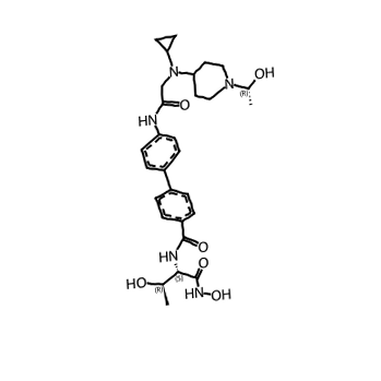 C[C@@H](O)[C@H](NC(=O)c1ccc(-c2ccc(NC(=O)CN(C3CC3)C3CCN([C@@H](C)O)CC3)cc2)cc1)C(=O)NO